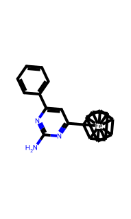 Nc1nc(-c2ccccc2)cc([C]23[CH]4[CH]5[CH]6[CH]2[Fe]56432789[CH]3[CH]2[CH]7[CH]8[CH]39)n1